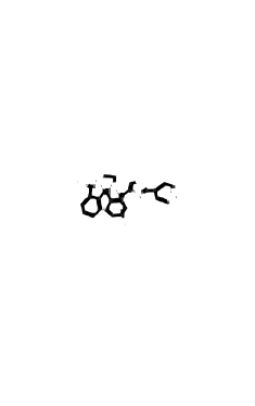 O=C(c1csc(-c2ccncc2)n1)N1CCN2C(=O)c3ccccc3C12c1ccc(Cl)cc1